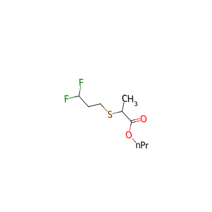 CCCOC(=O)C(C)SCCC(F)F